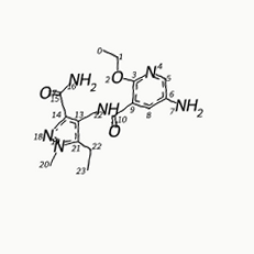 CCOc1ncc(N)cc1C(=O)Nc1c(C(N)=O)nn(C)c1CC